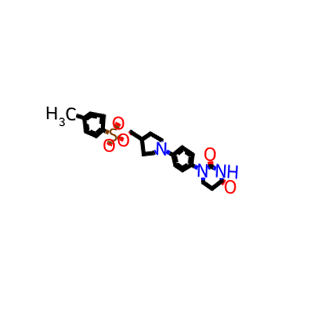 Cc1ccc(S(=O)(=O)OCC2CCN(c3ccc(N4CCC(=O)NC4=O)cc3)CC2)cc1